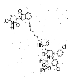 CC(C)[C@@H](CS(=O)(=O)C(C)C)N1C(=O)[C@@](C)(CC(=O)NCCCCCCC#Cc2cccc3c2CN(C2CCC(=O)NC2=O)C3=O)C[C@H](c2cccc(Cl)c2)[C@H]1c1ccc(Cl)cc1